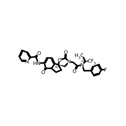 C[C@H](N(Cc1ccc(F)cc1)C(=O)CN1C[C@]2(CCC3C(=O)C(NC(=O)c4ccccn4)=CC=C32)OC1=O)C(F)(F)F